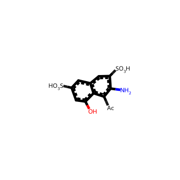 CC(=O)c1c(N)c(S(=O)(=O)O)cc2cc(S(=O)(=O)O)cc(O)c12